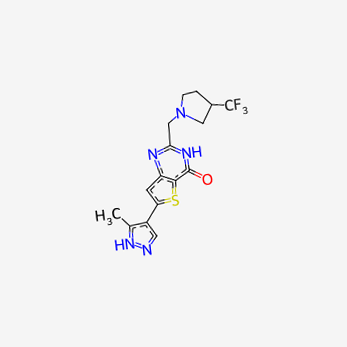 Cc1[nH]ncc1-c1cc2nc(CN3CCC(C(F)(F)F)C3)[nH]c(=O)c2s1